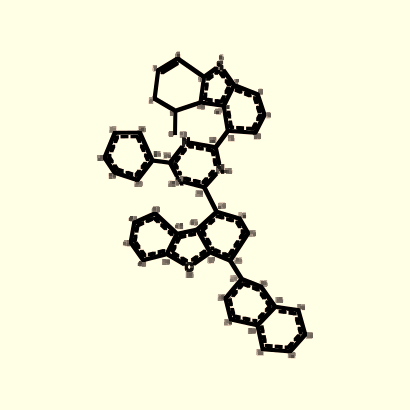 CC1CC=Cc2sc3cccc(-c4nc(-c5ccccc5)nc(-c5ccc(-c6ccc7ccccc7c6)c6oc7ccccc7c56)n4)c3c21